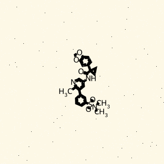 Cc1ncc(NC(=O)C2(c3ccc4c(c3)OCO4)CC2)cc1-c1cccc(S(=O)(=O)N(C)C)c1